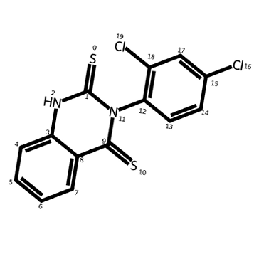 S=c1[nH]c2ccccc2c(=S)n1-c1ccc(Cl)cc1Cl